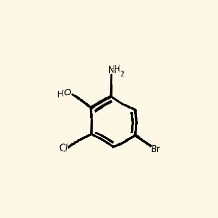 Nc1cc(Br)cc(Cl)c1O